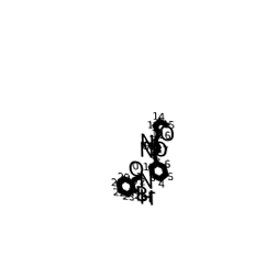 O=C(Nc1cccc(-c2nnc(-c3ccco3)o2)c1)c1ccccc1Br